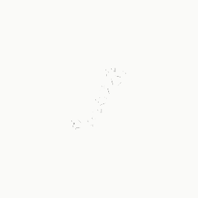 C[C@@H]1[C@H](C(=O)Nc2cn3cc(-c4c(Cl)c(F)c(N(C)C)c5[nH]ncc45)ncc3n2)[C@H]1c1cnn(C)c1